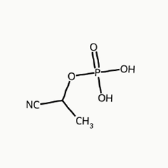 CC(C#N)OP(=O)(O)O